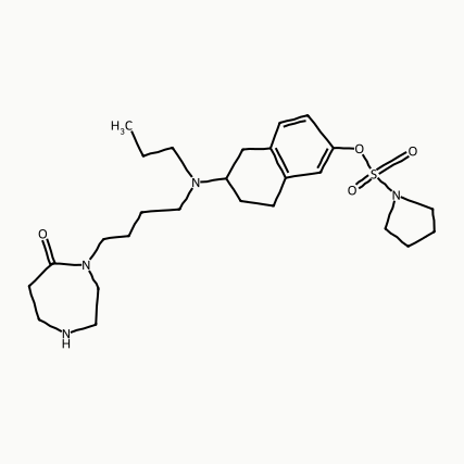 CCCN(CCCCN1CCNCCC1=O)C1CCc2cc(OS(=O)(=O)N3CCCC3)ccc2C1